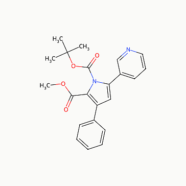 COC(=O)c1c(-c2ccccc2)cc(-c2cccnc2)n1C(=O)OC(C)(C)C